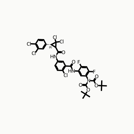 CC(C)(C)OC(=O)N(C(=O)OC(C)(C)C)c1cc(NC(=O)c2cc(NC(=O)C3[C@H](c4ccc(Cl)c(Cl)c4)C3(Cl)Cl)ccc2Cl)c(F)cc1F